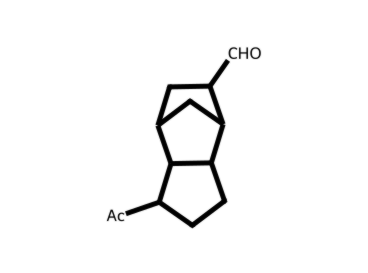 CC(=O)C1CCC2C3CC(CC3C=O)C12